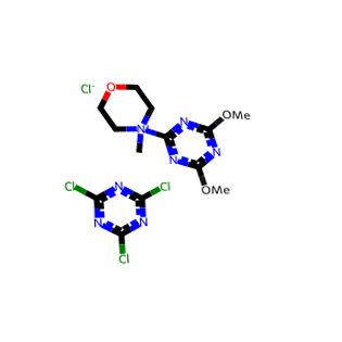 COc1nc(OC)nc([N+]2(C)CCOCC2)n1.Clc1nc(Cl)nc(Cl)n1.[Cl-]